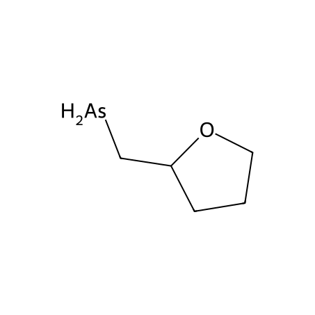 [AsH2]CC1CCCO1